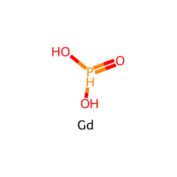 O=[PH](O)O.[Gd]